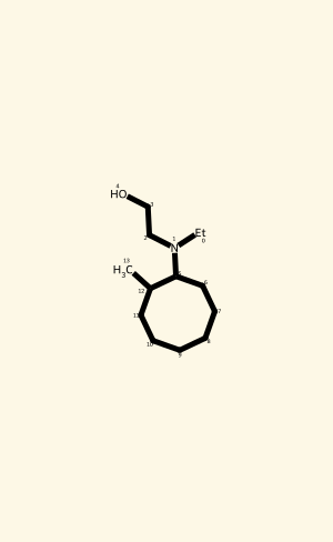 CCN(CCO)C1CCCCCCC1C